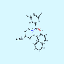 CC(=O)NC1CCN(C(=O)c2cc(C)cc(C)c2)C(c2cccc3ccccc23)C1